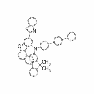 CC1(C)c2ccccc2-c2ccc(N(c3ccc(-c4ccc(-c5ccccc5)cc4)cc3)c3cc(-c4nc5ccccc5s4)cc4oc5ccc6ccccc6c5c34)cc21